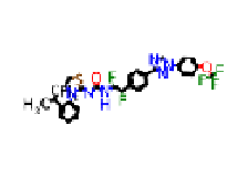 CC(C)c1ccccc1N1CCS/C1=N\C(=O)NC(F)C(F)c1ccc(-c2ncn(-c3ccc(OC(F)(F)F)cc3)n2)cc1